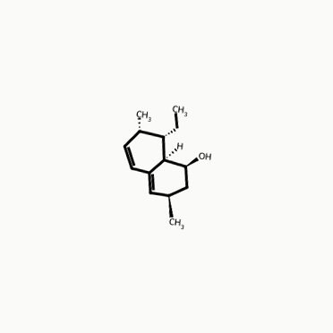 CC[C@@H]1[C@@H]2C(=C[C@H](C)C[C@@H]2O)C=C[C@@H]1C